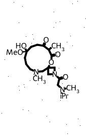 CO[C@]1(O)CCCN(C)CC2(CN(C(=O)CN(C)C(C)C)C2)OC(=O)C(C)C(=O)CC1